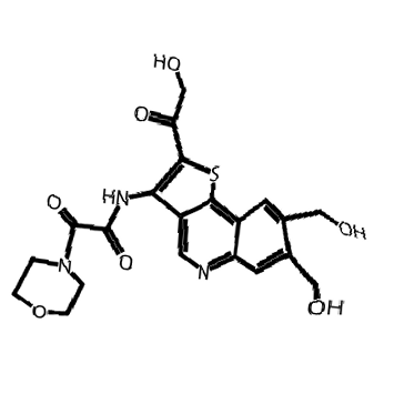 O=C(Nc1c(C(=O)CO)sc2c1cnc1cc(CO)c(CO)cc12)C(=O)N1CCOCC1